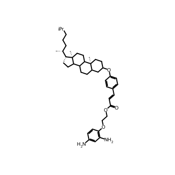 CC(C)CCC[C@@H](C)[C@H]1CCC2C3CCC4CC(Oc5ccc(C=CC(=O)OCCOc6ccc(N)cc6N)cc5)CC[C@]4(C)C3CC[C@@]21C